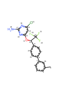 Cc1cccc(-c2ccc([C@@H](Oc3cc(Cl)nc(N)n3)C(F)(F)F)cc2)c1